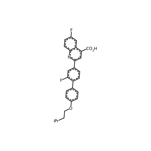 CC(C)CCOc1ccc(-c2ccc(-c3cc(C(=O)O)c4cc(F)ccc4n3)cc2F)cc1